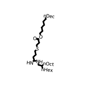 CCCCCCCCCCCCCCCCOC(=O)CCSCCCC(=N)NCC(CCCCCC)CCCCCCCC